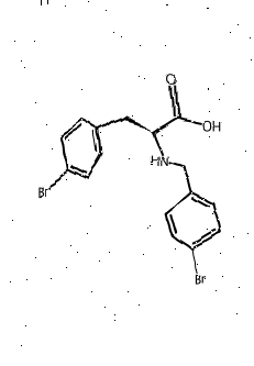 O=C(O)[C@H](Cc1ccc(Br)cc1)NCc1ccc(Br)cc1